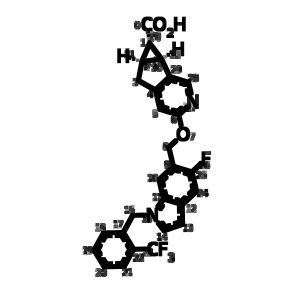 O=C(O)[C@H]1[C@@H]2Cc3cc(OCc4cc5c(ccn5Cc5ccccc5C(F)(F)F)cc4F)ncc3[C@@H]21